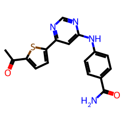 CC(=O)c1ccc(-c2cc(Nc3ccc(C(N)=O)cc3)ncn2)s1